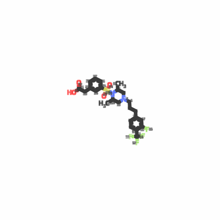 CC1CN(CCCc2ccc(C(F)(F)F)c(F)c2)CC(C)N1S(=O)(=O)c1cccc(CC(=O)O)c1